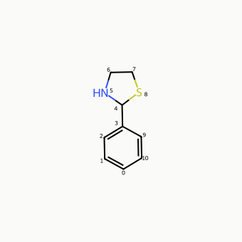 c1ccc(C2NCCS2)cc1